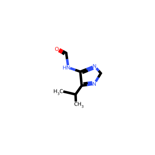 CC(C)C1=NCN=C1NC=O